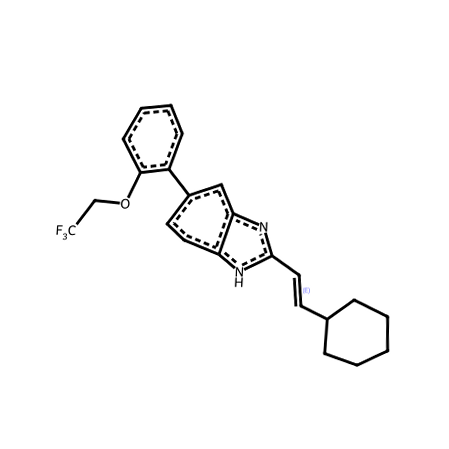 FC(F)(F)COc1ccccc1-c1ccc2[nH]c(/C=C/C3CCCCC3)nc2c1